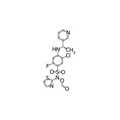 C[C@@H](Nc1cc(F)c(S(=O)(=O)N(OC=O)c2nccs2)cc1Cl)c1cccnc1